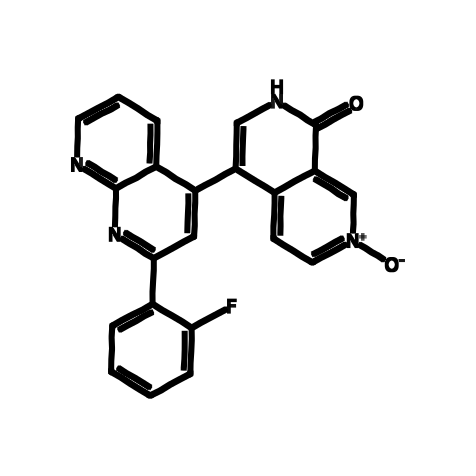 O=c1[nH]cc(-c2cc(-c3ccccc3F)nc3ncccc23)c2cc[n+]([O-])cc12